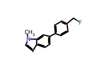 Cn1c[c]c2ccc(-c3ccc(CF)cc3)cc21